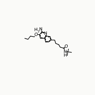 CCCCOc1cc2ccc(CCCCC(=O)NC(C)(C)C)cc2nc1N